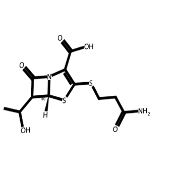 CC(O)C1C(=O)N2C(C(=O)O)=C(SCCC(N)=O)S[C@H]12